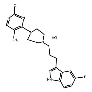 Cc1cnc(Cl)nc1N1CCN(CCCc2c[nH]c3ccc(F)cc23)CC1.Cl